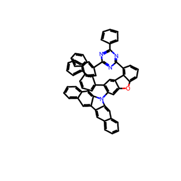 c1ccc(-c2cccc(-c3cc4c(cc3-n3c5cc6ccccc6cc5c5cc6ccccc6cc53)oc3cccc(-c5nc(-c6ccccc6)nc(-c6ccc7ccccc7c6)n5)c34)c2)cc1